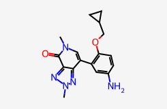 Cn1nc2c(-c3cc(N)ccc3OCC3CC3)cn(C)c(=O)c2n1